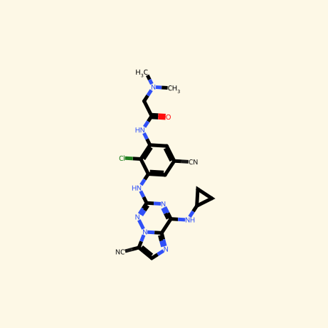 CN(C)CC(=O)Nc1cc(C#N)cc(Nc2nc(NC3CC3)c3ncc(C#N)n3n2)c1Cl